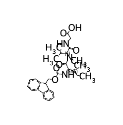 CC[C@H](C)[C@H](NC(=O)OCC1c2ccccc2-c2ccccc21)C(=O)N(C)[C@H](C(=O)NCC(=O)O)C(C)C